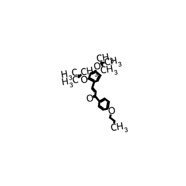 CCCOc1ccc(C(=O)/C=C/c2ccc(OC(C)(C)C)cc2OC(C)(C)C)cc1